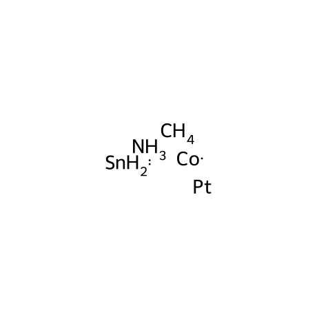 C.N.[Co].[Pt].[SnH2]